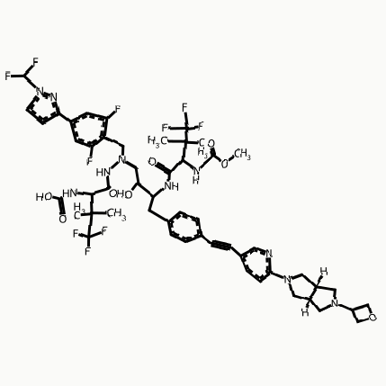 COC(=O)NC(C(=O)NC(Cc1ccc(C#Cc2ccc(N3C[C@@H]4CN(C5COC5)C[C@@H]4C3)nc2)cc1)C(O)CN(Cc1c(F)cc(-c2ccn(C(F)F)n2)cc1F)NC(=O)C(NC(=O)O)C(C)(C)C(F)(F)F)C(C)(C)C(F)(F)F